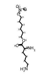 NCCCCC(N)C(=O)OCCCCCCO[N+](=O)[O-]